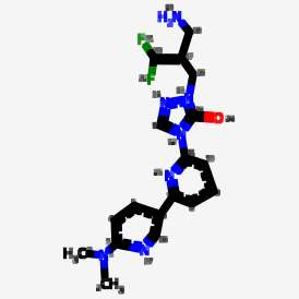 CN(C)c1ccc(-c2cccc(-n3cnn(CC(CN)=C(F)F)c3=O)n2)cn1